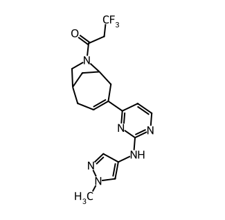 Cn1cc(Nc2nccc(C3=CCC4CC(C3)N(C(=O)CC(F)(F)F)C4)n2)cn1